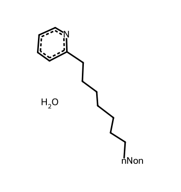 CCCCCCCCCCCCCCCCc1ccccn1.O